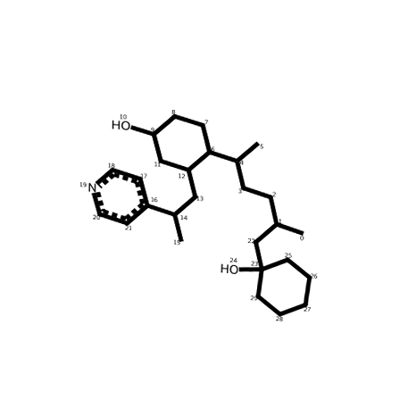 CC(CCC(C)C1CCC(O)CC1CC(C)c1ccncc1)CC1(O)CCCCC1